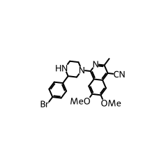 COc1cc2c(N3CCNC(c4ccc(Br)cc4)C3)nc(C)c(C#N)c2cc1OC